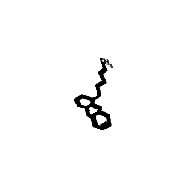 CCCCCCc1cccc2cc3c[c]ccc3cc12